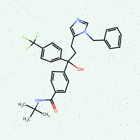 CC(C)(C)NC(=O)c1ccc(C(O)(CCc2cncn2Cc2ccccc2)c2ccc(C(F)(F)F)cc2)cc1